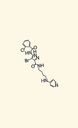 O=C(Nc1[nH]nc(C(=O)NCCCCNc2ccncc2)c1Br)c1ccccc1Cl